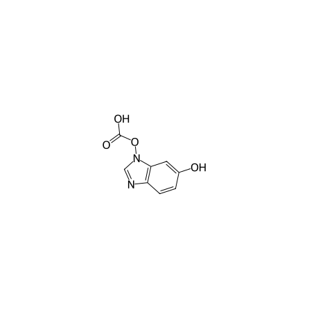 O=C(O)On1cnc2ccc(O)cc21